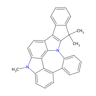 Cn1c2cccc3c4ccccc4n4c5c(c6ccc1c(c32)c64)-c1ccccc1C5(C)C